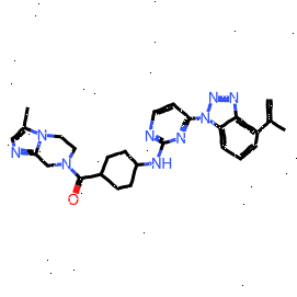 C=C(C)c1cccc2c1nnn2-c1ccnc(NC2CCC(C(=O)N3CCn4c(C)cnc4C3)CC2)n1